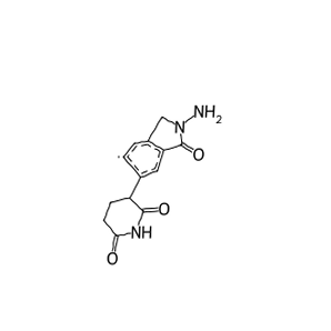 NN1Cc2c[c]c(C3CCC(=O)NC3=O)cc2C1=O